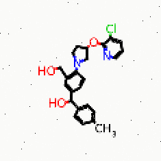 Cc1ccc(C(O)c2ccc(N3CCC(Oc4ncccc4Cl)C3)c(CO)c2)cc1